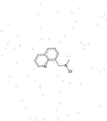 CCN(C)Cc1cccc2cccnc12